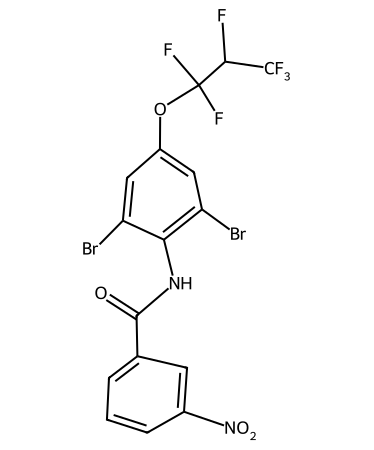 O=C(Nc1c(Br)cc(OC(F)(F)C(F)C(F)(F)F)cc1Br)c1cccc([N+](=O)[O-])c1